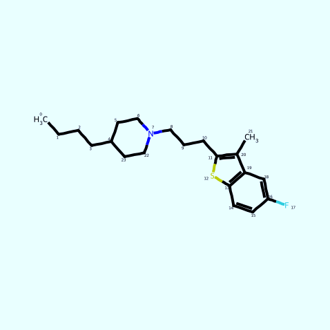 CCCCC1CCN(CCCc2sc3ccc(F)cc3c2C)CC1